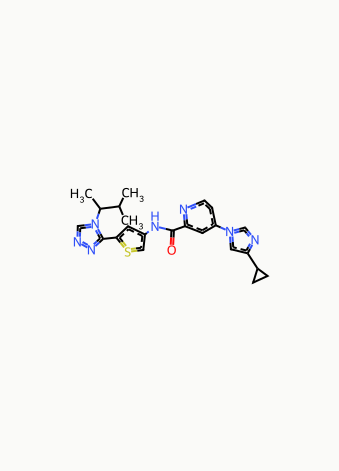 CC(C)C(C)n1cnnc1-c1cc(NC(=O)c2cc(-n3cnc(C4CC4)c3)ccn2)cs1